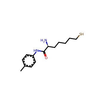 Cc1ccc(NC(=O)[C@@H](N)CCCCCS)cc1